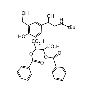 CC(C)(C)NCC(O)c1ccc(O)c(CO)c1.O=C(OC(C(=O)O)C(OC(=O)c1ccccc1)C(=O)O)c1ccccc1